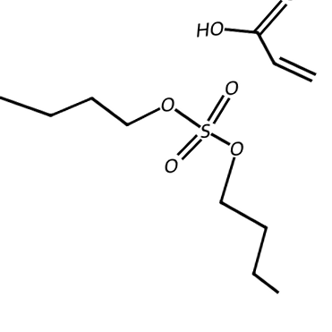 C=CC(=O)O.CCCCOS(=O)(=O)OCCCC